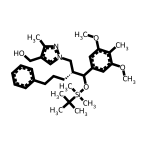 COc1cc(C(O[Si](C)(C)C(C)(C)C)[C@H](CCCc2ccccc2)Cn2cc(CO)c(C)n2)cc(OC)c1C